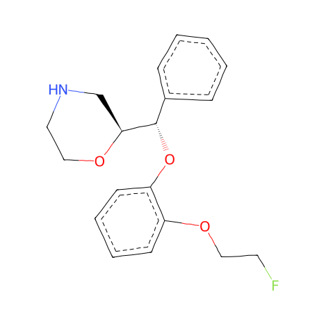 FCCOc1ccccc1O[C@@H](c1ccccc1)[C@@H]1CNCCO1